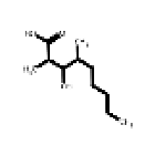 CCCCCC(C)C(O)C(C)C(=O)O